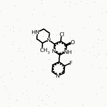 CC1CNCCN1c1nc(-c2ccncc2F)[nH]c(=O)c1Cl